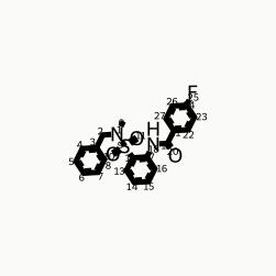 CN(Cc1ccccc1)S(=O)(=O)c1ccccc1NC(=O)c1ccc(F)cc1